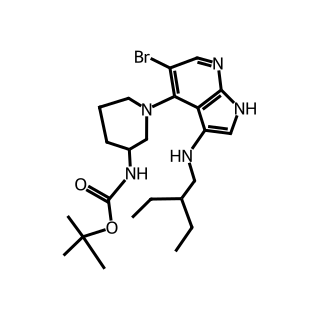 CCC(CC)CNc1c[nH]c2ncc(Br)c(N3CCCC(NC(=O)OC(C)(C)C)C3)c12